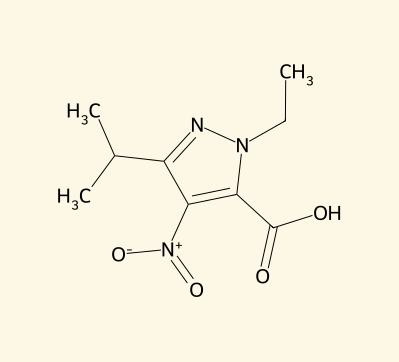 CCn1nc(C(C)C)c([N+](=O)[O-])c1C(=O)O